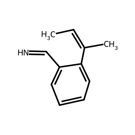 C/C=C(/C)c1ccccc1C=N